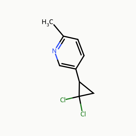 Cc1ccc(C2CC2(Cl)Cl)cn1